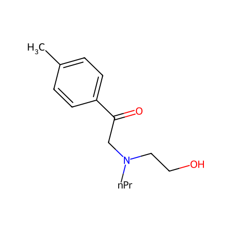 CCCN(CCO)CC(=O)c1ccc(C)cc1